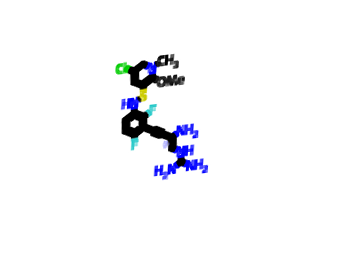 COC1=C(SNc2ccc(F)c(C#C/C(N)=C/NC(N)N)c2F)C=C(Cl)CN1C